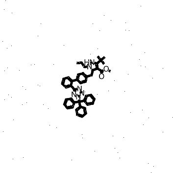 CCCN1NC(C(C)(C)C)=C(C(=O)OC)C1Cc1ccc(-c2ccccc2-c2nnn(C(c3ccccc3)(c3ccccc3)c3ccccc3)n2)cc1